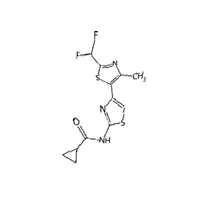 Cc1nc(C(F)F)sc1-c1csc(NC(=O)C2CC2)n1